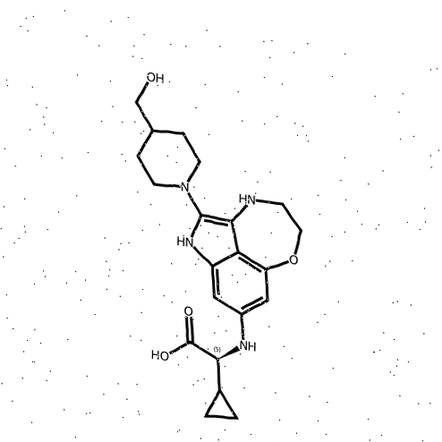 O=C(O)[C@@H](Nc1cc2c3c(c(N4CCC(CO)CC4)[nH]c3c1)NCCO2)C1CC1